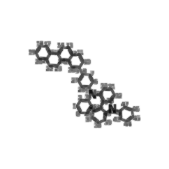 c1ccc(N(c2ccc(-c3ccc4ccc5c6ccccc6ccc5c4c3)cc2)c2cccc3c2c2ccccc2n3-c2ccccc2)cc1